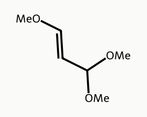 COC=CC(OC)OC